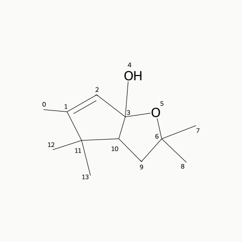 CC1=CC2(O)OC(C)(C)CC2C1(C)C